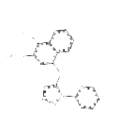 O=C(O)c1cc(Sc2nnnn2-c2ccccc2)c2ccccc2c1O